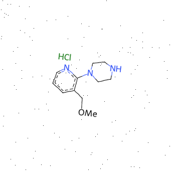 COCc1cccnc1N1CCNCC1.Cl